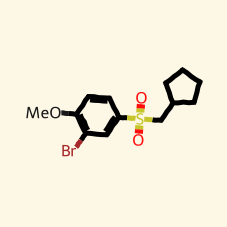 COc1ccc(S(=O)(=O)CC2CCCC2)cc1Br